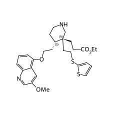 CCOC(=O)CC[C@]1(CCSc2cccs2)CNCC[C@H]1CCOc1cccc2ncc(OC)cc12